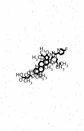 CC(C)C1=C2[C@H]3CC[C@@H]4[C@@]5(C)CC[C@H](OC(=O)CC(C)(C)C(=O)O)C(C)(C)[C@@H]5CC[C@@]4(C)[C@]3(C)CC[C@@]2(C(O)c2nnc(-c3ccc(F)cn3)n2CCN(C)C)CC1=O